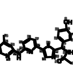 CC(=O)NC(c1ccc(O)cc1)c1ncc(-c2cccc(Nc3cc(C)ccn3)n2)s1